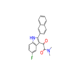 CN(C)C(=O)C(=O)c1c(-c2ccc3ccccc3c2)[nH]c2ccc(F)cc12